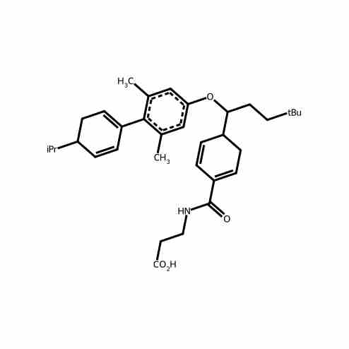 Cc1cc(OC(CCC(C)(C)C)C2C=CC(C(=O)NCCC(=O)O)=CC2)cc(C)c1C1=CCC(C(C)C)C=C1